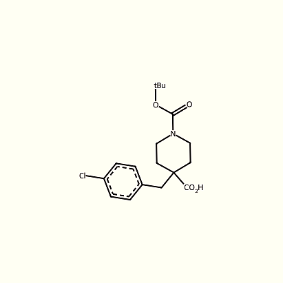 CC(C)(C)OC(=O)N1CCC(Cc2ccc(Cl)cc2)(C(=O)O)CC1